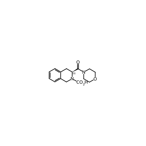 O=C([C@@H]1Cc2ccccc2CN1C(=O)O)N1CCOCC1